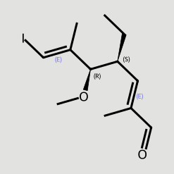 CC[C@@H](/C=C(\C)C=O)[C@@H](OC)/C(C)=C/I